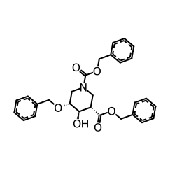 O=C(OCc1ccccc1)[C@H]1CN(C(=O)OCc2ccccc2)C[C@@H](OCc2ccccc2)[C@@H]1O